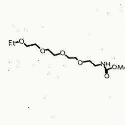 CCOCCOCCOCCOCCNC(=O)OC